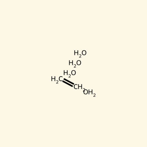 C=C.O.O.O.O